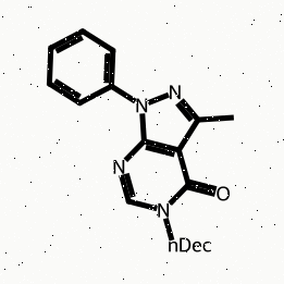 CCCCCCCCCCn1cnc2c(c(C)nn2-c2ccccc2)c1=O